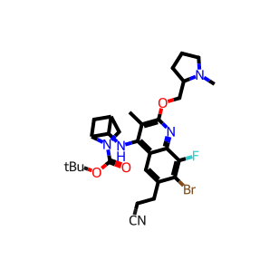 Cc1c(OCC2CCCN2C)nc2c(F)c(Br)c(CCC#N)cc2c1NC1C2CC1N(C(=O)OC(C)(C)C)C2